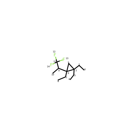 CCC1(CC)CC1(CC)C(C)C(F)(F)F